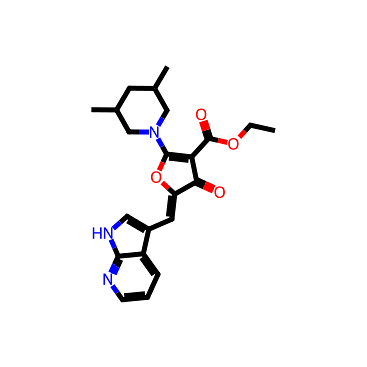 CCOC(=O)C1=C(N2CC(C)CC(C)C2)OC(=Cc2c[nH]c3ncccc23)C1=O